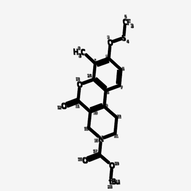 Cc1c(OSC(F)(F)F)ccc2c3c(c(=O)oc12)CN(C(=O)OC(C)(C)C)CC3